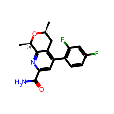 C[C@H]1Cc2c(-c3ccc(F)cc3F)cc(C(N)=O)nc2[C@@H](C)O1